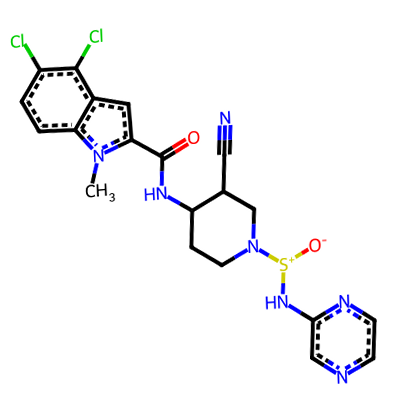 Cn1c(C(=O)NC2CCN([S+]([O-])Nc3cnccn3)CC2C#N)cc2c(Cl)c(Cl)ccc21